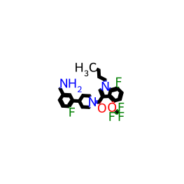 CCCCn1cc(C(=O)N2CCC(c3cc(CN)ccc3F)CC2)c2c(OC(F)(F)F)ccc(F)c21